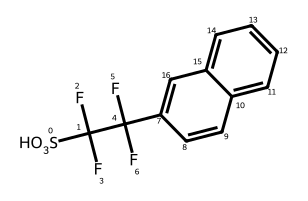 O=S(=O)(O)C(F)(F)C(F)(F)c1ccc2ccccc2c1